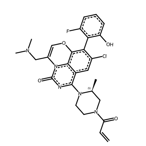 C=CC(=O)N1CCN(c2nc(=O)n3c4c(c(-c5c(O)cccc5F)c(Cl)cc24)OC=C3CN(C)C)[C@@H](C)C1